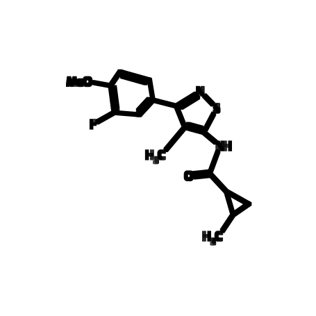 COc1ccc(-c2nsc(NC(=O)C3CC3C)c2C)cc1F